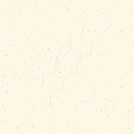 Bc1ccc2c(C(C)(C)C)c3cc(C)ccc3c(C(C)(C)C)c2c1